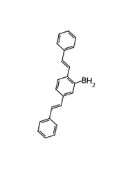 Bc1cc(/C=C/c2ccccc2)ccc1/C=C/c1ccccc1